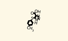 Cc1ccc(Sc2[nH]nnc2C(=O)O)cc1